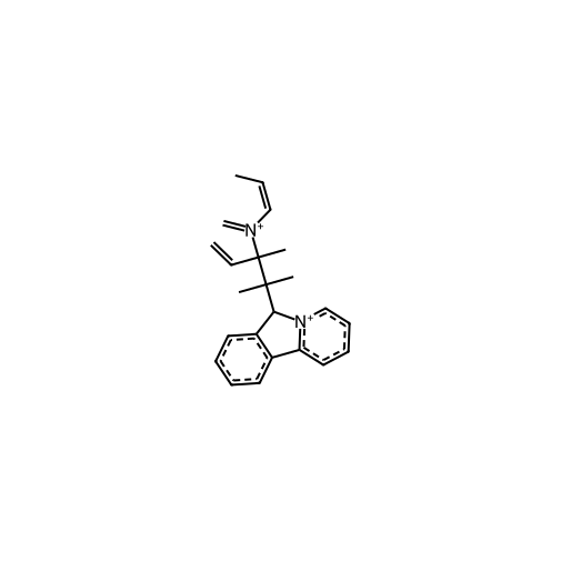 C=CC(C)([N+](=C)/C=C\C)C(C)(C)C1c2ccccc2-c2cccc[n+]21